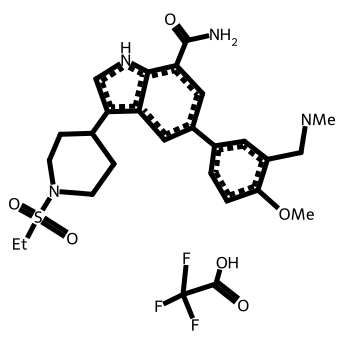 CCS(=O)(=O)N1CCC(c2c[nH]c3c(C(N)=O)cc(-c4ccc(OC)c(CNC)c4)cc23)CC1.O=C(O)C(F)(F)F